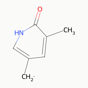 [CH2]c1c[nH]c(=O)c(C)c1